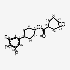 O=C(OC1CCC(c2cc(F)c(F)c(F)c2)CC1)C1CCC2OC2C1